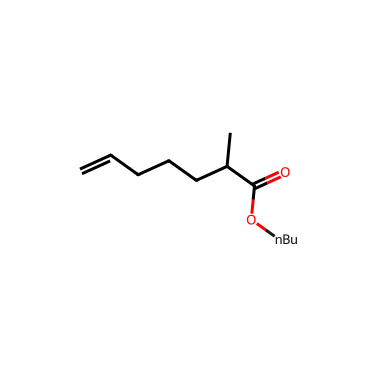 C=CCCCC(C)C(=O)OCCCC